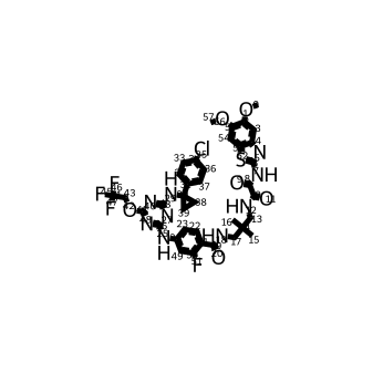 COc1cc2nc(NC(=O)C(=O)NCC(C)(C)CNC(=O)c3ccc(Nc4nc(NC5(c6ccc(Cl)cc6)CC5)nc(OCC(F)(F)F)n4)cc3F)sc2cc1OC